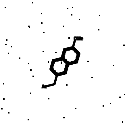 COc1ccc2cc(CC(C)=O)ccc2c1